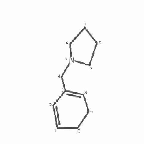 [CH]1C=CC(CN2CCCC2)=CC1